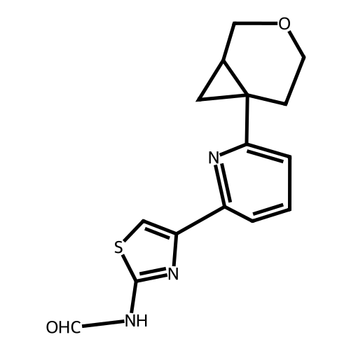 O=CNc1nc(-c2cccc(C34CCOCC3C4)n2)cs1